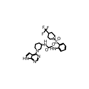 O=C(CNc1ccccc1S(=O)(=O)N1CCC(C(F)(F)F)CC1)N[C@@H]1CCCN(c2ncnc3[nH]ccc23)C1